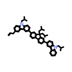 C=CCc1ccc2c(c1)c1cc(-c3ccc4c(c3)C(CC(C)C)(CC(C)C)c3cc(-c5ccc6c(c5)c5ccccc5n6CC(C)C)ccc3-4)ccc1n2CC(C)C